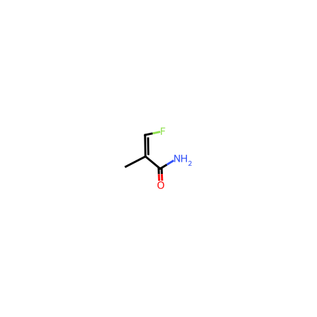 CC(=CF)C(N)=O